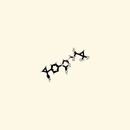 N#CC1(c2ccc(N3C[C@H](CNC(=O)C4CC4(Cl)Cl)OC3=O)cc2)CC1